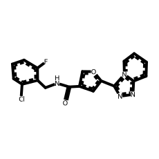 O=C(NCc1c(F)cccc1Cl)c1coc(-c2nnc3ccccn23)c1